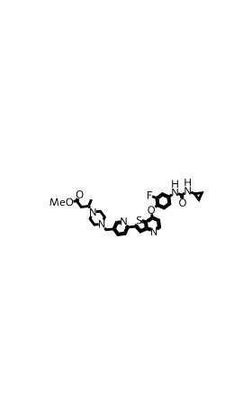 COC(=O)CC(C)N1CCN(Cc2ccc(-c3cc4nccc(Oc5ccc(NC(=O)NC6CC6)cc5F)c4s3)nc2)CC1